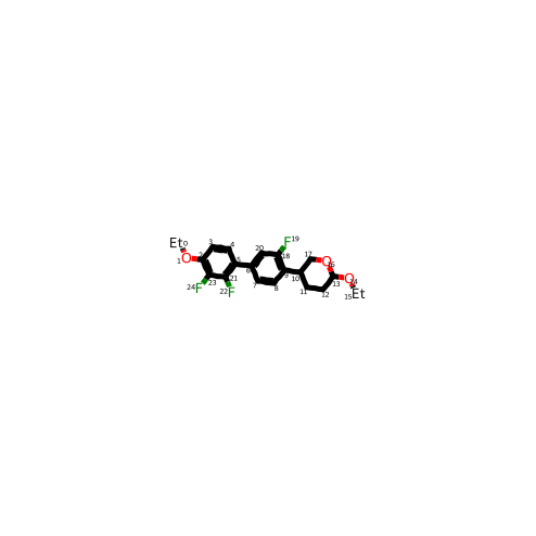 CCOc1ccc(-c2ccc(C3CCC(OCC)OC3)c(F)c2)c(F)c1F